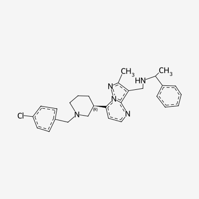 Cc1nn2c([C@@H]3CCCN(Cc4ccc(Cl)cc4)C3)ccnc2c1CNC(C)c1ccccc1